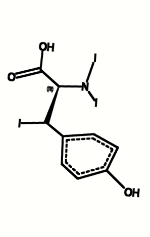 O=C(O)[C@H](C(I)c1ccc(O)cc1)N(I)I